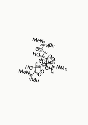 CCCC[C@@H](NC)C(=O)C(C)(O)C(=O)CC(O)(C(=O)[C@@H](C)NC)C(=O)C(O)(CC(=O)[C@H](NC)[C@@H](C)CC)C(=O)O